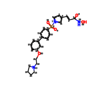 O=C(C=Cc1ccn(S(=O)(=O)c2ccc(-c3cccc(OCCN4CCCC4)c3)cc2)c1)NO